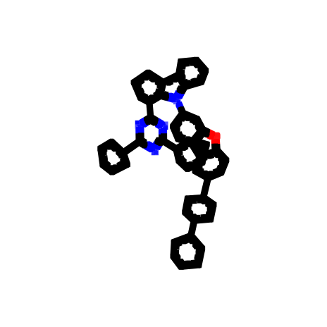 c1ccc(-c2ccc(-c3ccc4oc5cc(-n6c7ccccc7c7cccc(-c8nc(-c9ccccc9)nc(-c9ccccc9)n8)c76)ccc5c4c3)cc2)cc1